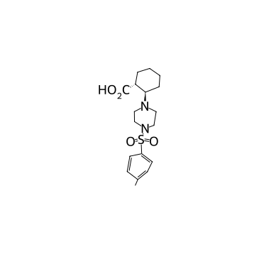 Cc1ccc(S(=O)(=O)N2CCN([C@@H]3CCCC[C@H]3C(=O)O)CC2)cc1